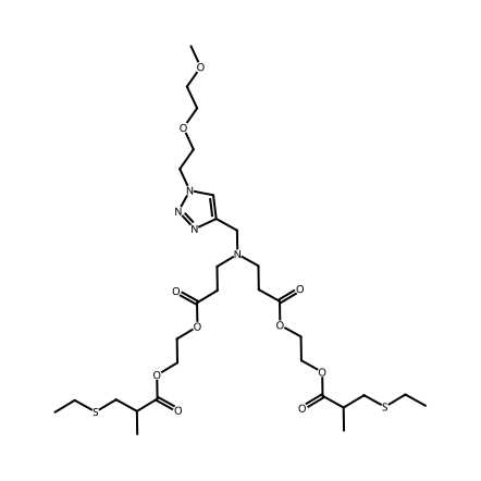 CCSCC(C)C(=O)OCCOC(=O)CCN(CCC(=O)OCCOC(=O)C(C)CSCC)Cc1cn(CCOCCOC)nn1